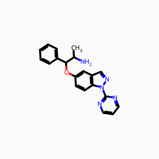 CC(N)C(Oc1ccc2c(cnn2-c2ncccn2)c1)c1ccccc1